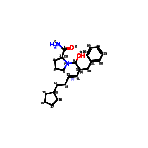 NC(=O)[C@@H]1CCCN1C(O)[C@H](/C=C/CCC1CCCC1)Cc1ccccc1